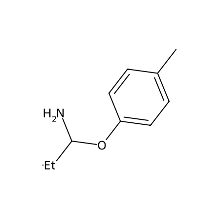 C[CH]C(N)Oc1ccc(C)cc1